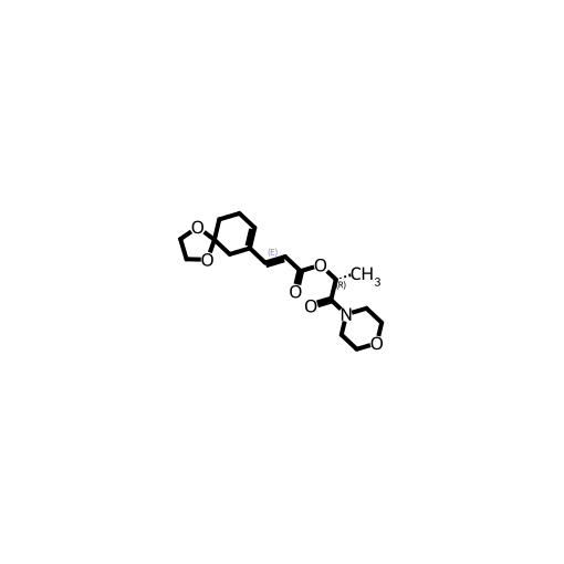 C[C@@H](OC(=O)/C=C/C1=CCCC2(C1)OCCO2)C(=O)N1CCOCC1